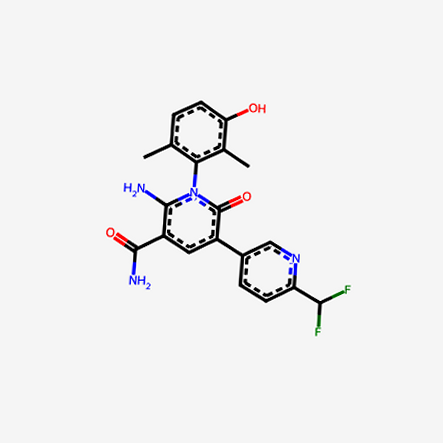 Cc1ccc(O)c(C)c1-n1c(N)c(C(N)=O)cc(-c2ccc(C(F)F)nc2)c1=O